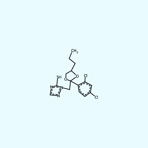 CCCC1COC(Cn2ncnc2S)(c2ccc(Cl)cc2Cl)O1